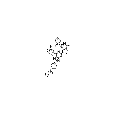 COc1ccncc1-c1cc2c(cnn2-c2cc3c(nc(N4CCC(N5CCC(F)(F)C5)CC4)n3C)c(N3C[C@H]4C[C@@H]3CO4)n2)c(C)n1